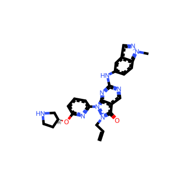 C=CCn1c(=O)c2cnc(Nc3ccc4c(cnn4C)c3)nc2n1-c1cccc(O[C@@H]2CCNC2)n1